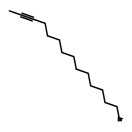 CC#CCCCCCCCCCCCBr